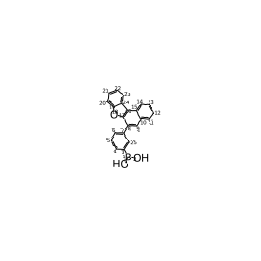 OB(O)c1cccc(-c2cc3ccccc3c3c2oc2ccccc23)c1